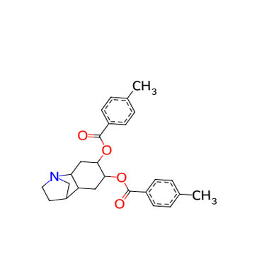 Cc1ccc(C(=O)OC2CC3C4CCN(C4)C3CC2OC(=O)c2ccc(C)cc2)cc1